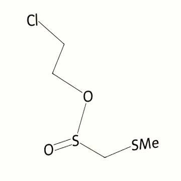 CSCS(=O)OCCCl